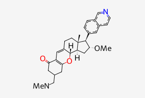 CNCC1CC(=O)C2=C(C1)O[C@@H]1C(=C2)CC[C@@]2(C)[C@H]1C[C@@H](OC)[C@@H]2c1ccc2cnccc2c1